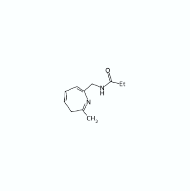 CCC(=O)NCC1=CC=CCC(C)=N1